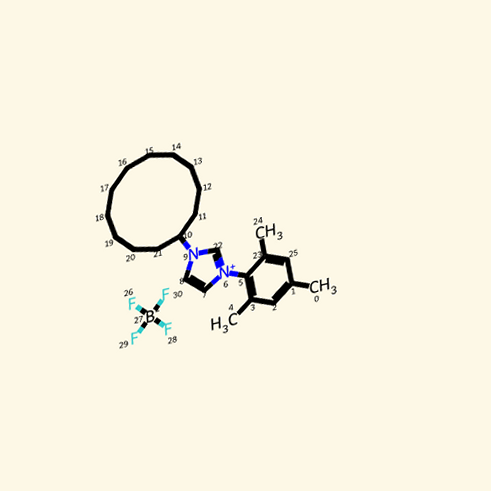 Cc1cc(C)c(-[n+]2ccn(C3CCCCCCCCCCC3)c2)c(C)c1.F[B-](F)(F)F